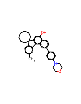 Cc1ccc2c(c1)-c1c(cc(O)c3ccc(-c4ccc(N5CCOCC5)cc4)cc13)C21CCCCCCC1